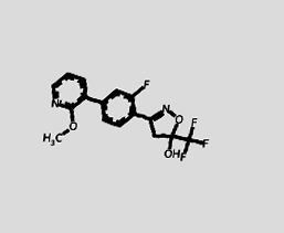 COc1ncccc1-c1ccc(C2=NOC(O)(C(F)(F)F)C2)c(F)c1